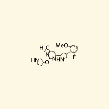 COc1cccc(F)c1C1=CNC(c2cc(C)nc(OC3CCNC3)n2)C1